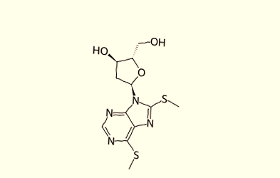 CSc1ncnc2c1nc(SC)n2[C@H]1C[C@@H](O)[C@H](CO)O1